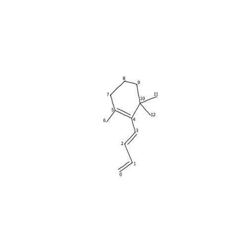 C=C/C=C/C1=C(C)CCCC1(C)C